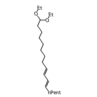 CCCCCC=CC=CCCCCCCCC(OCC)OCC